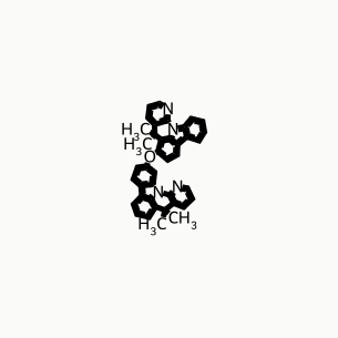 CC1(C)c2cccnc2-n2c3cc(Oc4ccc5c6ccccc6n6c5c4C(C)(C)c4cccnc4-6)ccc3c3cccc1c32